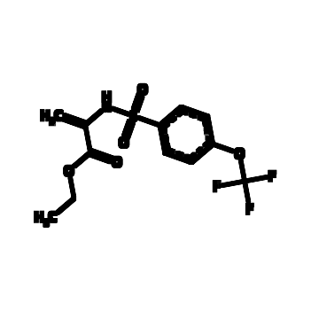 C=C(NS(=O)(=O)c1ccc(OC(F)(F)F)cc1)C(=O)OCC